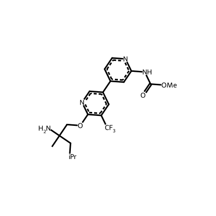 COC(=O)Nc1cc(-c2cnc(OCC(C)(N)CC(C)C)c(C(F)(F)F)c2)ccn1